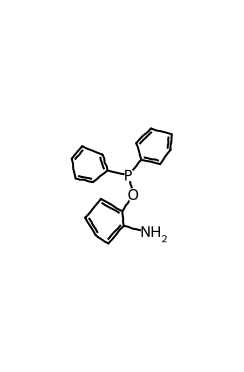 Nc1ccccc1OP(c1ccccc1)c1ccccc1